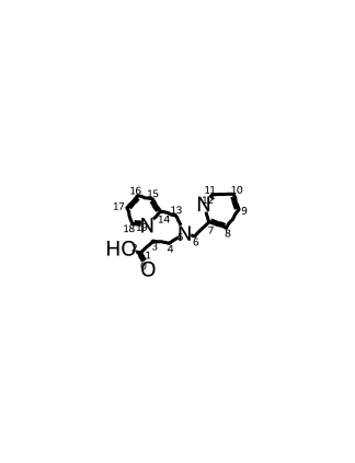 O=C(O)CCN(Cc1ccccn1)Cc1ccccn1